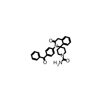 NC(=O)N1CCC2(CC1)c1ccccc1CC(=O)N2c1ccc(C(=O)c2ccccc2)cc1